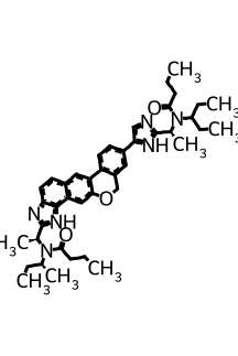 CCCC(=O)N(C(CC)CC)[C@@H](C)c1ncc(-c2ccc3c(c2)COc2cc4c(ccc5nc([C@H](C)N(C(=O)CCC)[C@@H](C)CC)[nH]c54)cc2-3)[nH]1